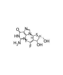 Nc1nc2c(ncn2[C@H]2S[C@H](CO)C(O)C2=C(F)F)c(=O)[nH]1